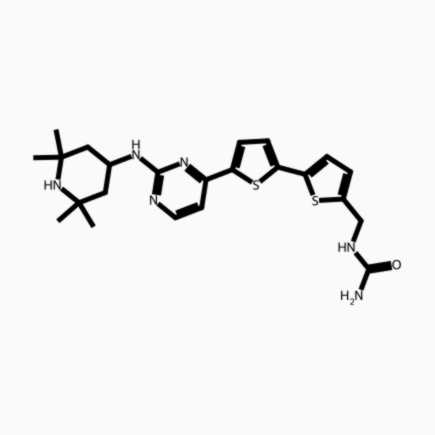 CC1(C)CC(Nc2nccc(-c3ccc(-c4ccc(CNC(N)=O)s4)s3)n2)CC(C)(C)N1